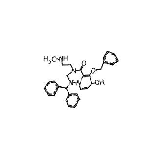 CNCCN1CN(C(c2ccccc2)c2ccccc2)N2C=CC(O)C(OCc3ccccc3)=C2C1=O